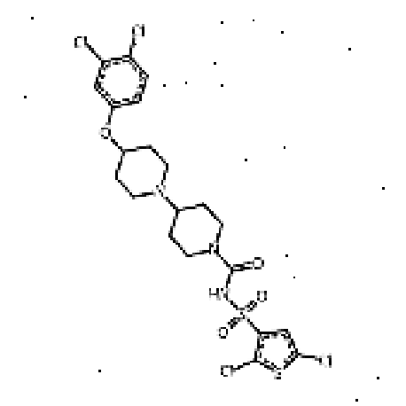 O=C(NS(=O)(=O)c1cc(Cl)sc1Cl)N1CCC(N2CCC(Oc3ccc(Cl)c(Cl)c3)CC2)CC1